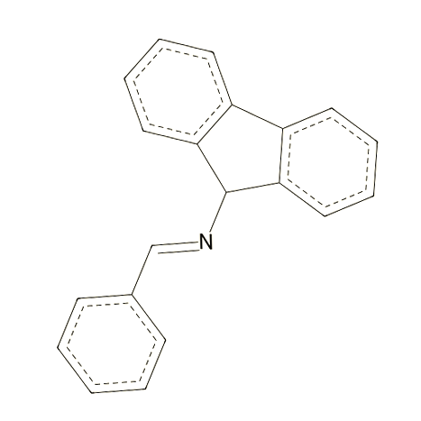 C(=NC1c2ccccc2-c2ccccc21)c1ccccc1